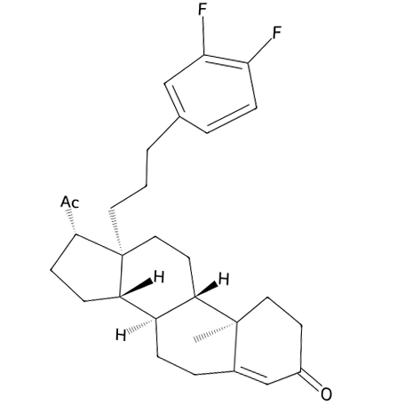 CC(=O)[C@H]1CC[C@H]2[C@@H]3CCC4=CC(=O)CC[C@]4(C)[C@H]3CC[C@]12CCCc1ccc(F)c(F)c1